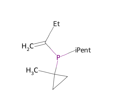 C=C(CC)P(C(C)CCC)C1(C)CC1